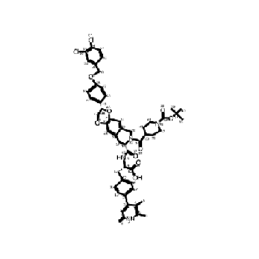 C=C/C=C(\C(C)=C(\C)N)c1ccc(C[C@H](NC(=O)[C@@H]2Cc3cc4c(cc3CN2C(=O)C2CCN(C(=O)OC(C)(C)C)CC2)O[C@@H](c2ccc(OCc3ccc(Cl)c(Cl)c3)cc2)CO4)C(=O)O)cc1